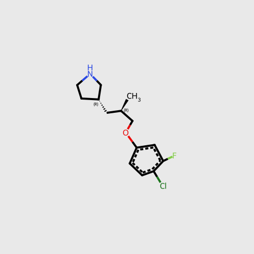 C[C@@H](COc1ccc(Cl)c(F)c1)C[C@@H]1CCNC1